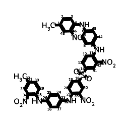 Cc1ccc(Nc2ccc(Nc3ccc(S(=O)(=O)c4ccc(Nc5ccc(Nc6ccc(C)cc6[N+](=O)[O-])cc5)c([N+](=O)[O-])c4)cc3[N+](=O)[O-])cc2)c([N+](=O)[O-])c1